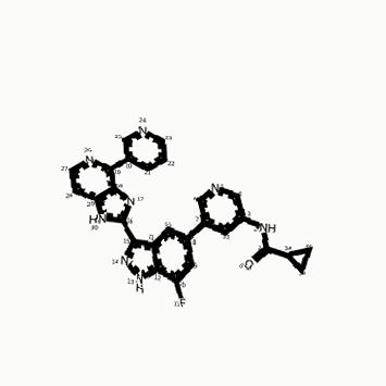 O=C(Nc1cncc(-c2cc(F)c3[nH]nc(-c4nc5c(-c6cccnc6)nccc5[nH]4)c3c2)c1)C1CC1